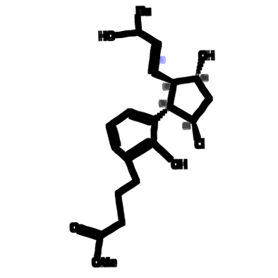 CCC(C)C(O)/C=C/[C@@H]1[C@@H](c2cccc(CCCC(=O)OC)c2O)[C@H](Cl)C[C@H]1O